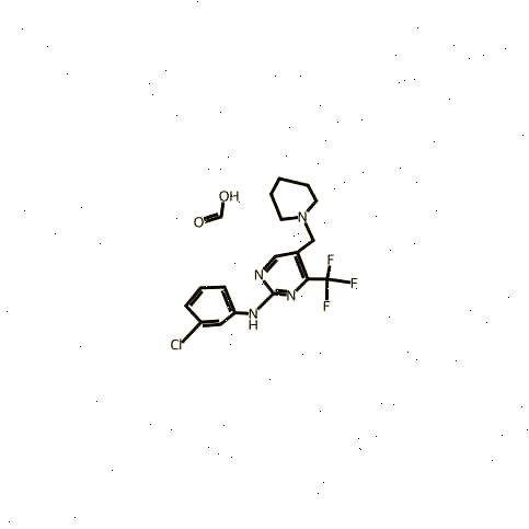 FC(F)(F)c1nc(Nc2cccc(Cl)c2)ncc1CN1CCCCC1.O=CO